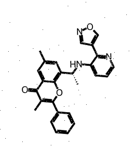 Cc1cc([C@@H](C)Nc2cccnc2-c2cnoc2)c2oc(-c3ccccc3)c(C)c(=O)c2c1